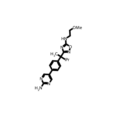 COCCNc1nc(C(C)(c2ccc(-c3cnc(N)nc3)cc2)C(C)C)no1